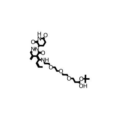 C=c1cnn(C2CCC(=O)NC2=O)c(=O)/c1=C(/C=C\C)NCCOCCOCCOCCC(O)OC(C)(C)C